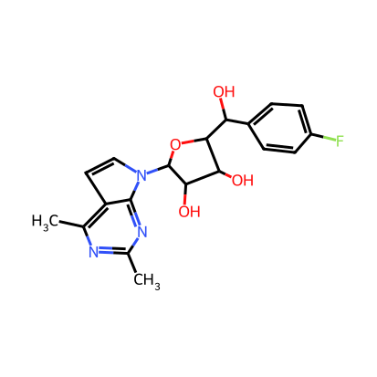 Cc1nc(C)c2ccn(C3OC(C(O)c4ccc(F)cc4)C(O)C3O)c2n1